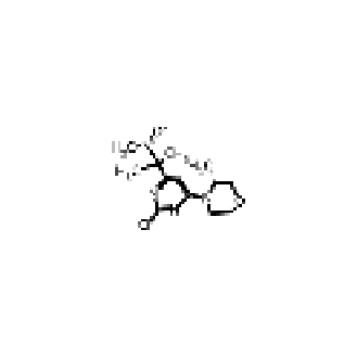 C[C@@H]1COCCN1c1cc(C(C)(C)[S+](C)[O-])nc(Cl)n1